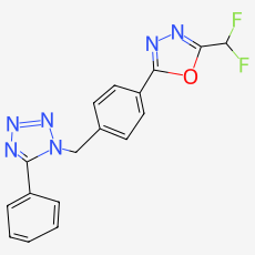 FC(F)c1nnc(-c2ccc(Cn3nnnc3-c3ccccc3)cc2)o1